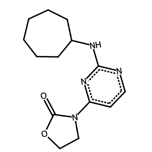 O=C1OCCN1c1ccnc(NC2CCCCCC2)n1